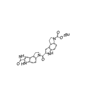 CC(C)(C)OC(=O)N1CCc2c1ccc1[nH]c(C(=O)N3CCc4c3ccc3[nH]c(C(N)=O)cc43)cc21